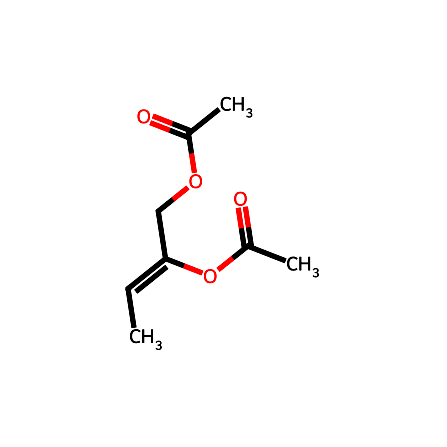 C/C=C(/COC(C)=O)OC(C)=O